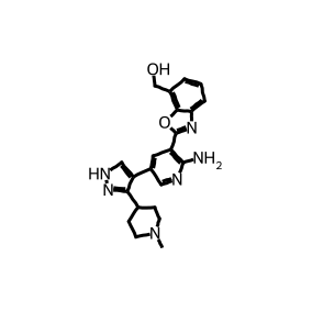 CN1CCC(c2n[nH]cc2-c2cnc(N)c(-c3nc4cccc(CO)c4o3)c2)CC1